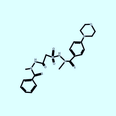 CN(NC(=O)CS(=O)(=O)NN(C)C(=S)c1ccc(N2CCOCC2)cc1)C(=S)c1ccccc1